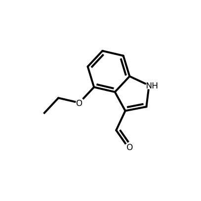 CCOc1cccc2[nH]cc(C=O)c12